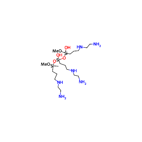 CO[Si](C)(CCCNCCN)O[Si](O)(CCCNCCN)O[Si](O)(CCCNCCN)OC